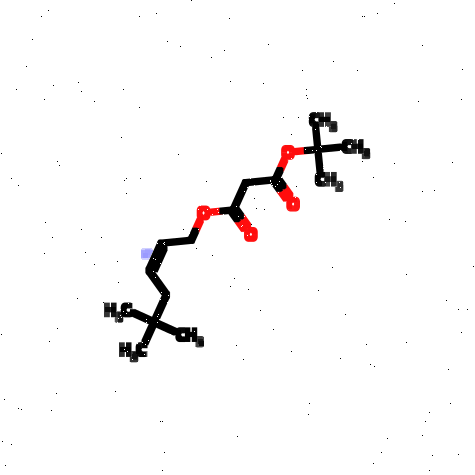 CC(C)(C)C/C=C\COC(=O)CC(=O)OC(C)(C)C